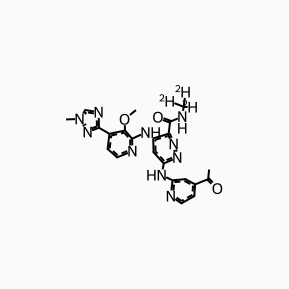 [2H]C([2H])([2H])NC(=O)c1nnc(Nc2cc(C(C)=O)ccn2)cc1Nc1nccc(-c2ncn(C)n2)c1OC